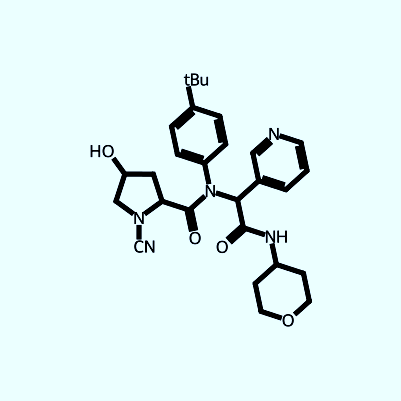 CC(C)(C)c1ccc(N(C(=O)C2CC(O)CN2C#N)C(C(=O)NC2CCOCC2)c2cccnc2)cc1